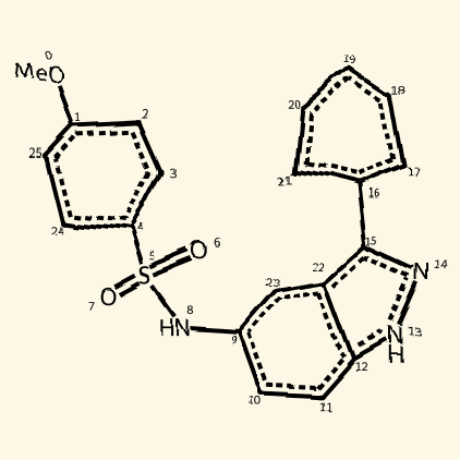 COc1ccc(S(=O)(=O)Nc2ccc3[nH]nc(-c4ccccc4)c3c2)cc1